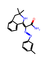 Cc1cccc(/N=N/C(C(N)=O)=C2/NC(C)(C)Cc3ccccc32)c1